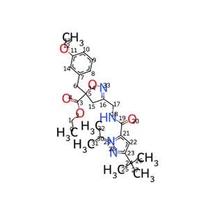 CCOC(=O)C1(Cc2cccc(OC)c2)CC(CNC(=O)c2cc(C(C)(C)C)nn2C(C)C)=NO1